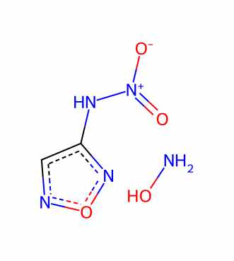 NO.O=[N+]([O-])Nc1cnon1